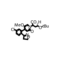 COc1cn(C(CCOC(C)(C)C)C(=O)O)c(=O)cc1-c1cc(Cl)ccc1C1=NOCC1